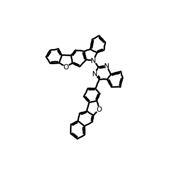 c1ccc2cc3c(cc2c1)oc1cc(-c2nc(-n4c5ccccc5c5cc6c(cc54)oc4ccccc46)nc4ccccc24)ccc13